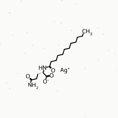 CCCCCCCCCCCC(=O)N[C@@H](CCC(N)=O)C(=O)[O-].[Ag+]